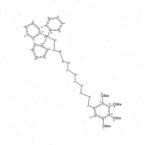 COc1c(C)c(CCCCCCCCCCCC[P+](c2ccccc2)(c2ccccc2)c2ccccc2)c(OC)c(OC)c1OC